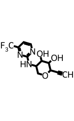 C#CC1OCC(Nc2nccc(C(F)(F)F)n2)C(O)C1O